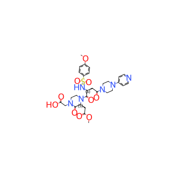 COC(=O)C[C@H]1C(=O)N(CC(=O)O)CCN1C(=O)[C@H](CC(=O)N1CCN(c2ccncc2)CC1)NS(=O)(=O)c1ccc(OC)cc1